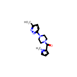 Cn1cccc1C(=O)N1CCN(c2ccc(C(=O)O)nn2)CC1